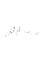 C[C@H]1C[C@@]2(C)C(CC[C@@H]2OC(=O)CCC(=O)OCC(O)[C@@]2(O)[C@@H](C)CC3C4CCC5=CC(=O)C=C[C@]5(C)[C@@]4(F)[C@@H](O)C[C@@]32C)C2CCC3=CC(=O)CCC3C21